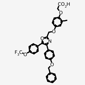 Cc1cc(OCc2nc(-c3ccc(OCc4ccccc4)cc3)c(-c3ccc(OC(F)(F)F)cc3)o2)ccc1OCC(=O)O